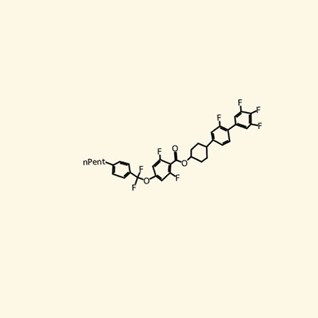 CCCCCc1ccc(C(F)(F)Oc2cc(F)c(C(=O)OC3CCC(c4ccc(-c5cc(F)c(F)c(F)c5)c(F)c4)CC3)c(F)c2)cc1